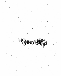 CN1c2nc(-c3ccc(N4CCN(C(=O)O)CC4)cc3)ccc2N(CC2CC2(F)F)S1(O)O